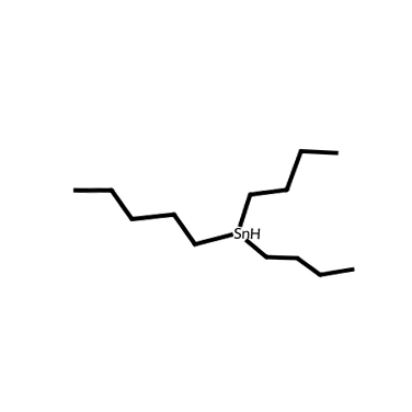 CCCC[CH2][SnH]([CH2]CCC)[CH2]CCC